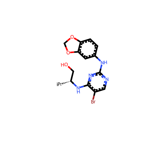 CC(C)[C@H](CO)Nc1nc(Nc2ccc3c(c2)OCO3)ncc1Br